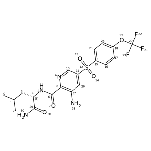 CC(C)C[C@H](NC(=O)c1ncc(S(=O)(=O)c2ccc(OC(F)(F)F)cc2)cc1N)C(N)=O